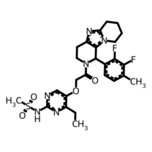 CCc1nc(NS(C)(=O)=O)ncc1OCC(=O)N1CCc2nc3n(c2C1c1ccc(C)c(F)c1F)CCCC3